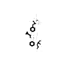 CCCCC(C=O)(CC)Oc1ccccc1N(C)CC(Nc1ccc(CC2(C)NC(=O)NC2=O)cc1)=C1CC1